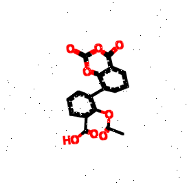 CC(=O)Oc1c(C(=O)O)cccc1-c1cccc2c(=O)oc(=O)oc12